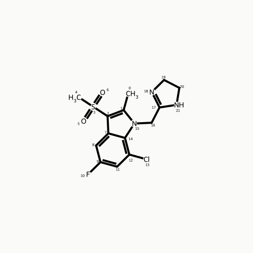 Cc1c(S(C)(=O)=O)c2cc(F)cc(Cl)c2n1CC1=NCCN1